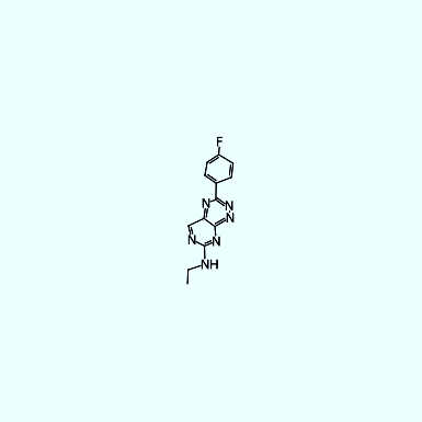 CCNc1ncc2nc(-c3ccc(F)cc3)nnc2n1